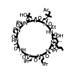 C/C=C/C[C@@H](C)[C@@H](O)[C@H]1C(=O)N[C@H](CC)C(=O)N(C)[C@H](CSC(C)(C)CC(C)=O)C(=O)N(C)[C@@H](CC(C)(C)O)C(=O)N[C@H](C(C)C)C(=O)N(C)[C@H](CC(C)C)C(=O)N[C@H](C)C(=O)N[C@@H](C)C(=O)N(C)[C@@H](CC(C)C)C(=O)N(C)[C@H](CCC(C)C)C(=O)N(C)[C@H](C(C)C)C(=O)N1C